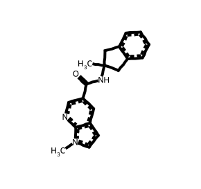 Cn1ccc2cc(C(=O)NC3(C)Cc4ccccc4C3)cnc21